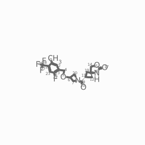 Cc1cc(COC2CN(C(=O)[C@H]3C[C@]4(COC(=O)N4)C3)C2)c(F)cc1C(F)(F)F